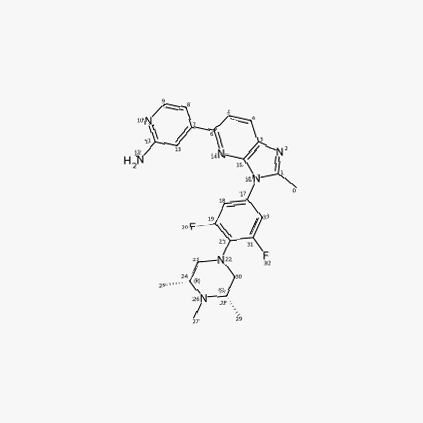 Cc1nc2ccc(-c3ccnc(N)c3)nc2n1-c1cc(F)c(N2C[C@@H](C)N(C)[C@@H](C)C2)c(F)c1